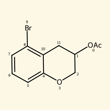 CC(=O)OC1COc2cccc(Br)c2C1